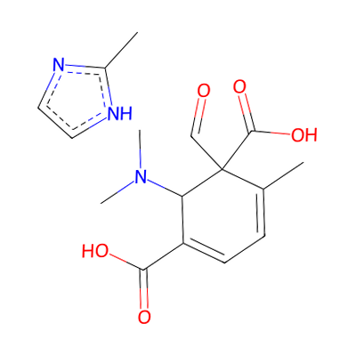 CC1=CC=C(C(=O)O)C(N(C)C)C1(C=O)C(=O)O.Cc1ncc[nH]1